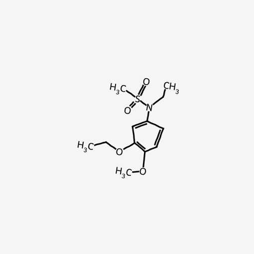 CCOc1cc(N(CC)S(C)(=O)=O)ccc1OC